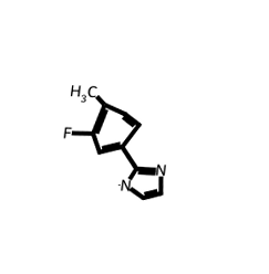 Cc1ccc(C2=NC=C[N]2)cc1F